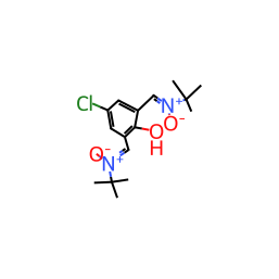 CC(C)(C)[N+]([O-])=Cc1cc(Cl)cc(C=[N+]([O-])C(C)(C)C)c1O